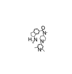 Cc1cc(N2CCC(N(C)C(=O)c3ccc4c(c3)C(N)CC4)CC2)cc(C)n1